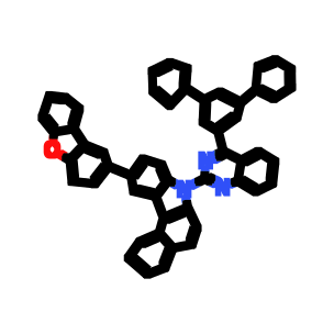 c1ccc(-c2cc(-c3ccccc3)cc(-c3nc(-n4c5ccc(-c6ccc7oc8ccccc8c7c6)cc5c5c6ccccc6ccc54)nc4ccccc34)c2)cc1